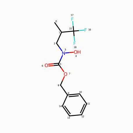 CC(CN(O)C(=O)OCc1ccccc1)C(F)(F)F